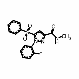 CNC(=O)c1cc(S(=O)(=O)c2ccccc2)n(-c2ccccc2F)n1